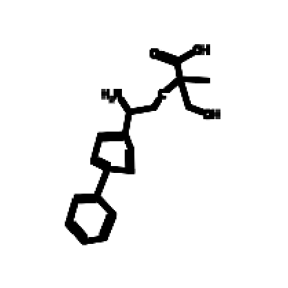 CC(CO)(CCC(N)c1ccc(-c2ccccc2)cc1)C(=O)O